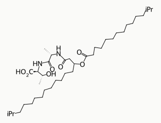 CC(C)CCCCCCCCCCCC(=O)OC(CCCCCCCCCCCC(C)C)CC(=O)N[C@@H](C)C(=O)N[C@H](C(=O)O)[C@@H](C)O